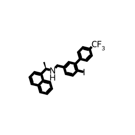 C[C@@H](NCc1ccc(I)c(-c2ccc(C(F)(F)F)cc2)c1)c1cccc2ccccc12